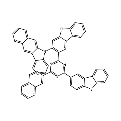 c1ccc2cc(-c3nc(-c4ccc5sc6ccccc6c5c4)nc(-c4cc5c(cc4-n4c6ccccc6c6cc7ccccc7cc64)oc4ccccc45)n3)ccc2c1